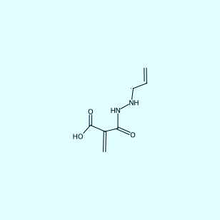 C=C[CH]NNC(=O)C(=C)C(=O)O